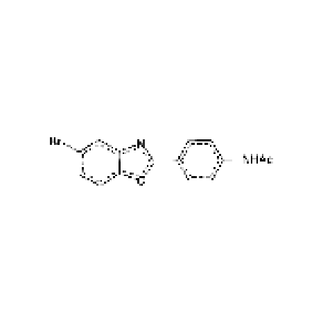 CC(=O)Nc1ccc(-c2nc3cc(Br)ccc3o2)cc1